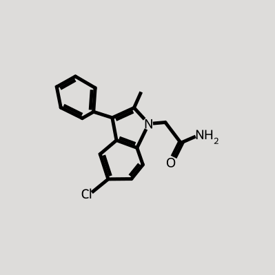 Cc1c(-c2ccccc2)c2cc(Cl)ccc2n1CC(N)=O